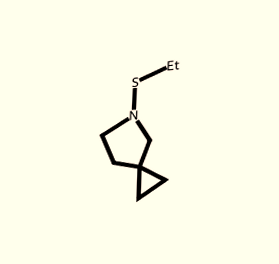 CCSN1CCC2(CC2)C1